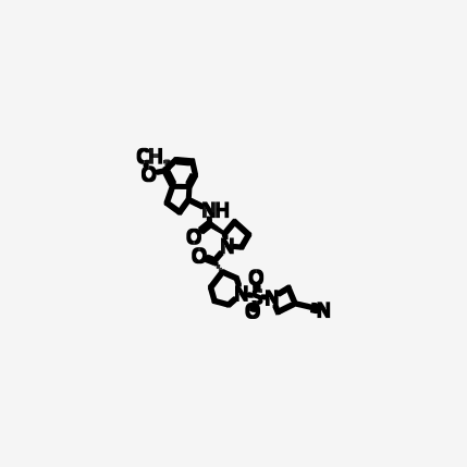 COc1cccc2c1CCC2NC(=O)[C@H]1CCCN1C(=O)[C@H]1CCCN(S(=O)(=O)N2CC(C#N)C2)C1